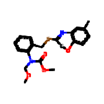 COCN(C(=O)OC)c1ccccc1CSC1=Nc2cc(C)ccc2OC1